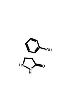 O=C1CCNN1.Oc1ccccc1